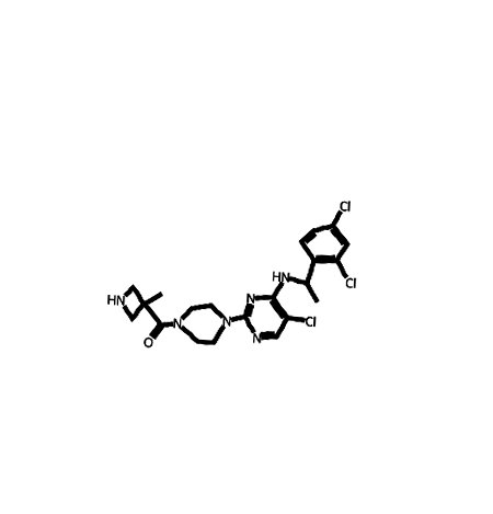 CC(Nc1nc(N2CCN(C(=O)C3(C)CNC3)CC2)ncc1Cl)c1ccc(Cl)cc1Cl